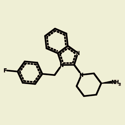 N[C@H]1CCCN(c2nc3ccccc3n2Cc2ccc(F)cc2)C1